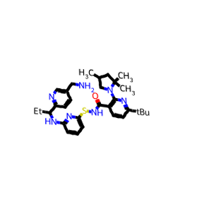 CCC(Nc1cccc(SNC(=O)c2ccc(C(C)(C)C)nc2N2CC(C)CC2(C)C)n1)c1ccc(CN)cn1